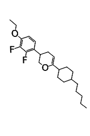 CCCCCC1CCC(C2=CCC(c3ccc(OCC)c(F)c3F)CO2)CC1